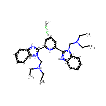 CCN(CC)Cn1c(-c2cccc(-c3nc4ccccc4n3CN(CC)CC)n2)nc2ccccc21.[Cl-].[Cl-].[Co+2]